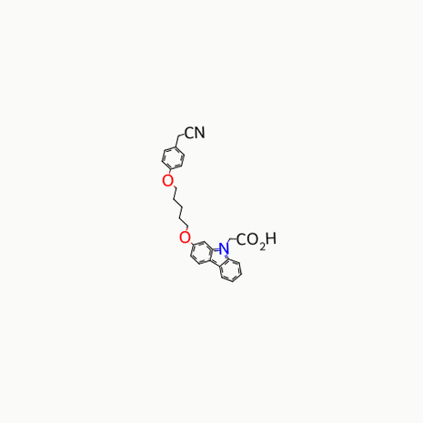 N#CCc1ccc(OCCCCCOc2ccc3c4ccccc4n(CC(=O)O)c3c2)cc1